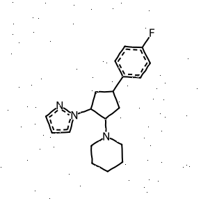 Fc1ccc(C2CC(N3CCCCC3)C(n3cccn3)C2)cc1